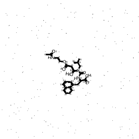 CC(=O)NCCOC(=O)CC(O)N(CC(C)C)C(=O)NC(Cc1cccc2ccccc12)C(=O)O